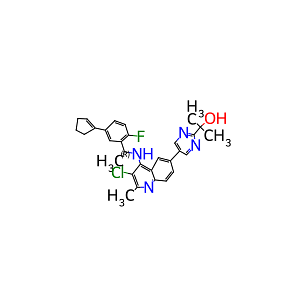 Cc1nc2ccc(-c3cnc(C(C)(C)O)nc3)cc2c(N[C@H](C)c2cc(C3=CCCC3)ccc2F)c1Cl